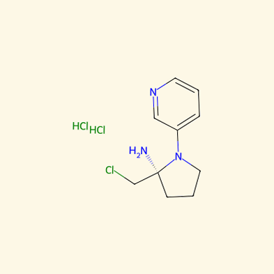 Cl.Cl.N[C@@]1(CCl)CCCN1c1cccnc1